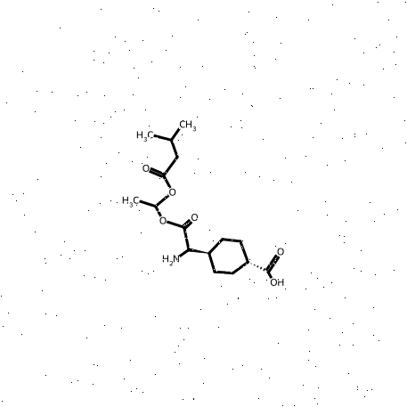 CC(C)CC(=O)OC(C)OC(=O)C(N)[C@H]1CC[C@H](C(=O)O)CC1